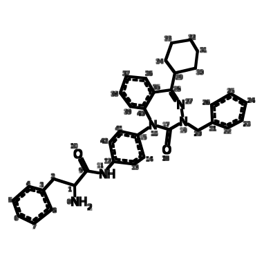 NC(Cc1ccccc1)C(=O)Nc1ccc(N2C(=O)N(Cc3ccccc3)N=C(C3CCCCC3)c3ccccc32)cc1